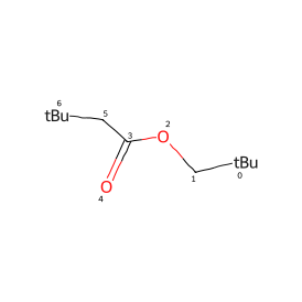 CC(C)(C)COC(=O)CC(C)(C)C